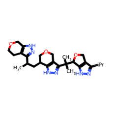 CC(C)c1n[nH]c2c1COC2C(C)(C)c1n[nH]c2c1COCC2CC(C)c1n[nH]c2c1CCOC2